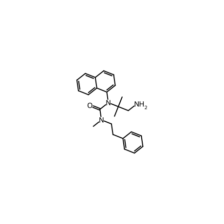 CN(CCc1ccccc1)C(=O)N(c1cccc2ccccc12)C(C)(C)CN